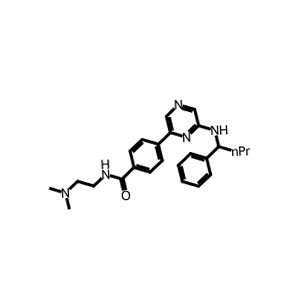 CCCC(Nc1cncc(-c2ccc(C(=O)NCCN(C)C)cc2)n1)c1ccccc1